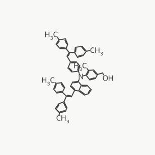 Cc1ccc(C(=Cc2ccc(N(c3ccc(CO)cc3C)c3ccc(C=C(c4ccc(C)cc4)c4ccc(C)cc4)c4ccccc34)cc2)c2ccc(C)cc2)cc1